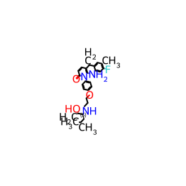 C=C(c1ccc(F)c(C)c1)c1ccc(=O)n(-c2ccc(OCCCN[C@@H](CC(C)C)C(=C)O)cc2)c1N